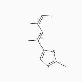 C/C=C(C)\C=C(/C)c1cnc(C)s1